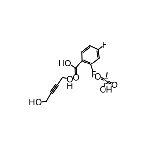 CS(=O)(=O)O.O=C(O)c1ccc(F)cc1F.OCC#CCO